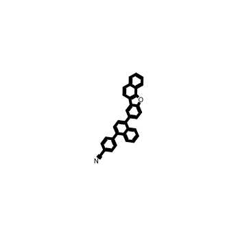 N#Cc1ccc(-c2ccc(-c3ccc4oc5c6ccccc6ccc5c4c3)c3ccccc23)cc1